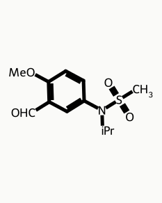 COc1ccc(N(C(C)C)S(C)(=O)=O)cc1C=O